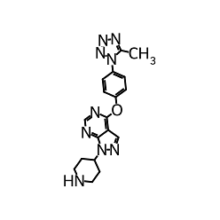 Cc1nnnn1-c1ccc(Oc2ncnc3c2cnn3C2CCNCC2)cc1